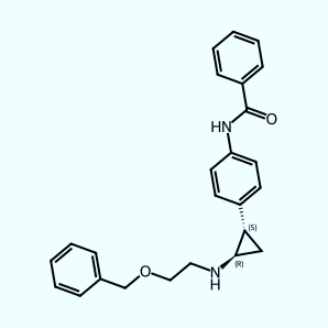 O=C(Nc1ccc([C@@H]2C[C@H]2NCCOCc2ccccc2)cc1)c1ccccc1